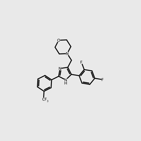 Fc1ccc(-c2[nH]c(-c3cccc(C(F)(F)F)c3)nc2CN2CCOCC2)c(F)c1